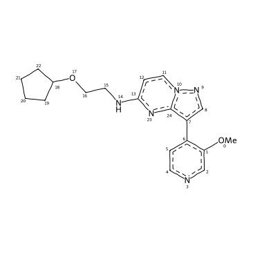 COc1cnccc1-c1cnn2ccc(NCCOC3CCCC3)nc12